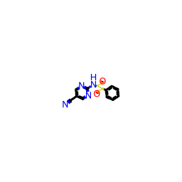 N#Cc1cnc(NS(=O)(=O)c2ccccc2)nc1